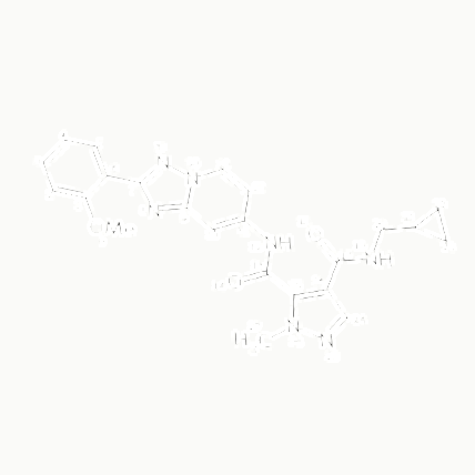 COc1ccccc1-c1nc2cc(NC(=O)c3c(C(=O)NCC4CC4)cnn3C)ccn2n1